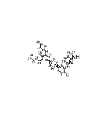 C=Cc1ccc(N2CCN(C/C(C)=C(/CC(C)(C)CCC)C(=C)/C=C\C/C=C\C)CC2)cc1Cc1ccc2cc[nH]c2n1